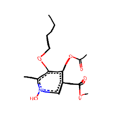 CCCCOc1c(OC(C)=O)c(C(=O)OC)c[n+](O)c1C